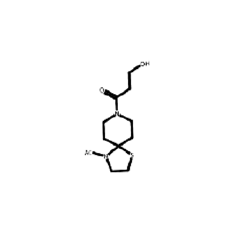 CC(=O)N1CCSC12CCN(C(=O)CCO)CC2